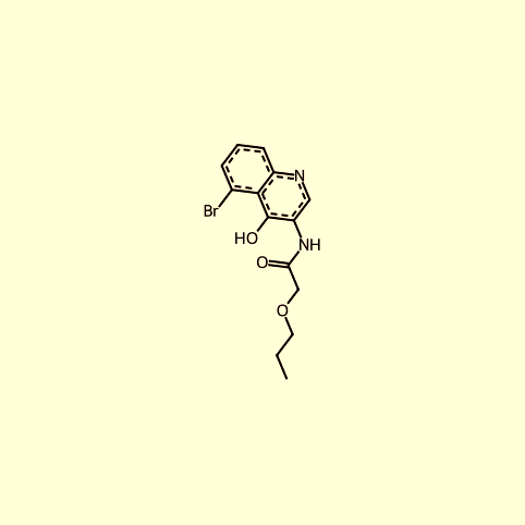 CCCOCC(=O)Nc1cnc2cccc(Br)c2c1O